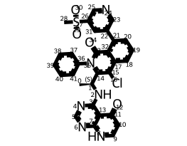 C[C@H](Nc1ncnc2[nH]ccc(=O)c12)c1c(Cl)c2cccc(-c3cncc(S(C)(=O)=O)c3)c2c(=O)n1-c1ccccc1